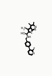 Cc1nnc2sc(C(O)NCc3ccc(-c4cccnc4F)cc3)c(N)c2c1C